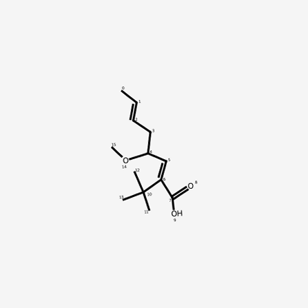 C/C=C/CC(/C=C(/C(=O)O)C(C)(C)C)OC